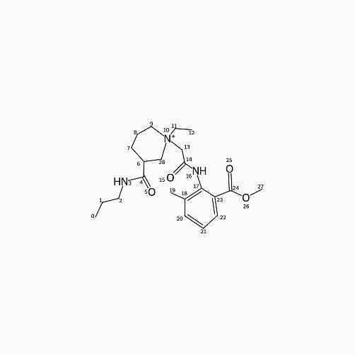 CCCNC(=O)C1CCC[N+](CC)(CC(=O)Nc2c(C)cccc2C(=O)OC)C1